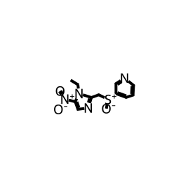 CCn1c([N+](=O)[O-])cnc1C[S+]([O-])c1cccnc1